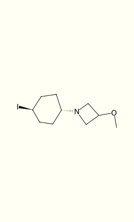 COC1CN([C@H]2CC[C@H](I)CC2)C1